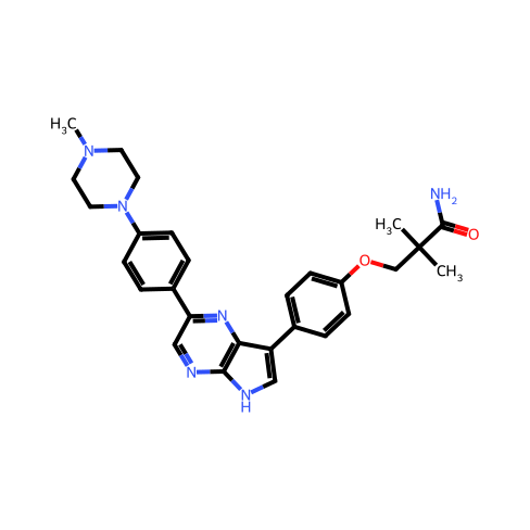 CN1CCN(c2ccc(-c3cnc4[nH]cc(-c5ccc(OCC(C)(C)C(N)=O)cc5)c4n3)cc2)CC1